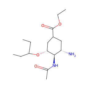 CCOC(=O)C1C[C@H](N)[C@@H](NC(C)=O)[C@H](OC(CC)CC)C1